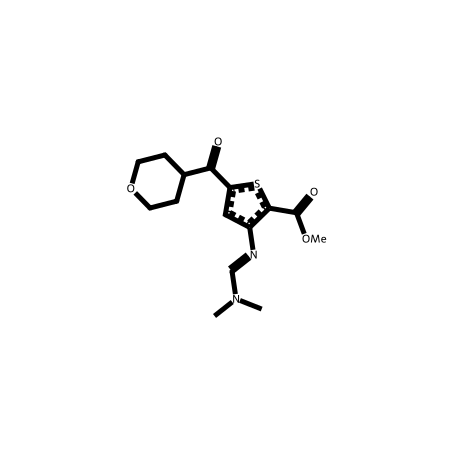 COC(=O)c1sc(C(=O)C2CCOCC2)cc1N=CN(C)C